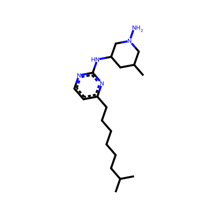 CC(C)CCCCCCc1ccnc(NC2CC(C)CN(N)C2)n1